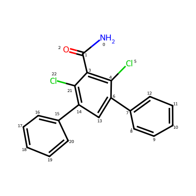 NC(=O)c1c(Cl)c(-c2[c]cccc2)cc(-c2ccccc2)c1Cl